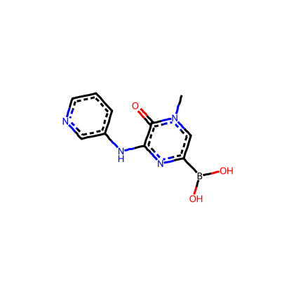 Cn1cc(B(O)O)nc(Nc2cccnc2)c1=O